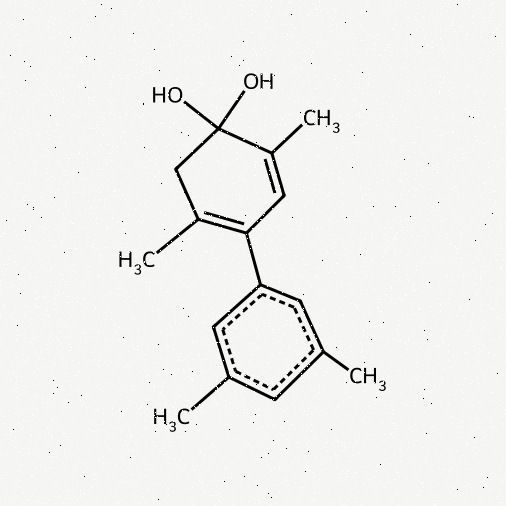 CC1=CC(c2cc(C)cc(C)c2)=C(C)CC1(O)O